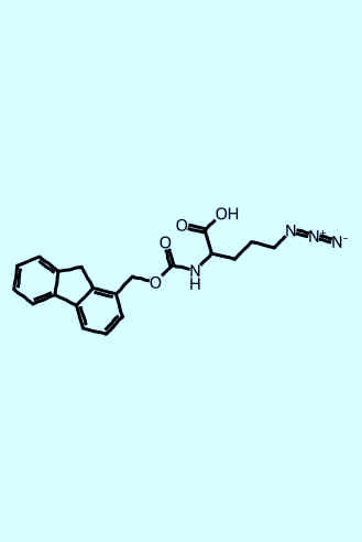 [N-]=[N+]=NCCCC(NC(=O)OCc1cccc2c1Cc1ccccc1-2)C(=O)O